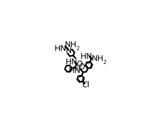 N=C(N)c1ccc(CC(C(=O)N[C@H](C(=O)NCC2CCN(C(=N)N)CC2)C2CCCCC2)c2cccc(Cl)c2)cc1